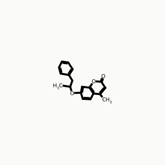 Cc1cc(=O)oc2cc(OC(C)Cc3ccccc3)ccc12